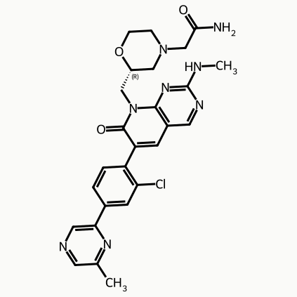 CNc1ncc2cc(-c3ccc(-c4cncc(C)n4)cc3Cl)c(=O)n(C[C@H]3CN(CC(N)=O)CCO3)c2n1